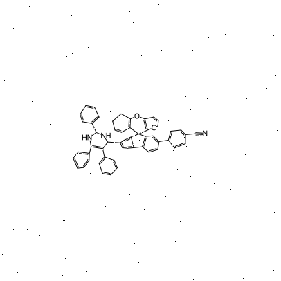 N#Cc1ccc(-c2ccc3c(c2)C2(C4=C(CCC=C4)OC4=C2CCC=C4)c2cc(C4NC(c5ccccc5)NC(c5ccccc5)=C4c4ccccc4)ccc2-3)cc1